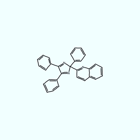 c1ccc(C2=NC(c3ccccc3)(c3ccc4ccccc4n3)N=C2c2ccccc2)cc1